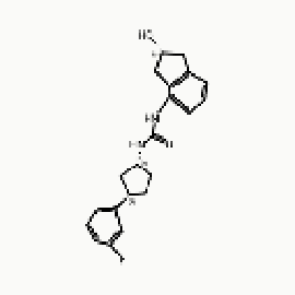 O=C(Nc1cccc2c1C[C@H](O)C2)N[C@@H]1CC[C@@H](c2cccc(F)c2)C1